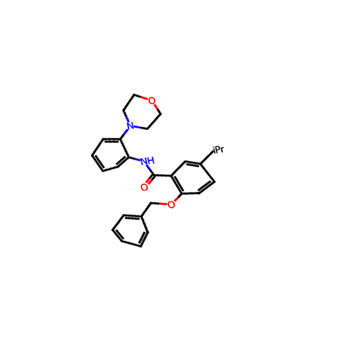 CC(C)c1ccc(OCc2ccccc2)c(C(=O)Nc2ccccc2N2CCOCC2)c1